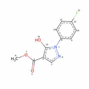 COC(=O)c1cnn(-c2ccc(F)cc2)c1O